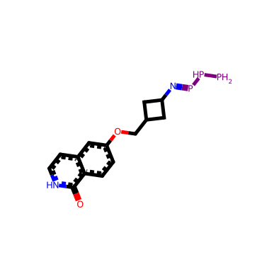 O=c1[nH]ccc2cc(OCC3CC(/N=P/PP)C3)ccc12